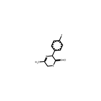 CC1=NC(c2ccc(F)cc2)C(=S)SC1.Cl